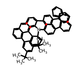 CC(C)(C)c1cc(-c2cccc3cccc(-c4ccccc4N(c4ccc(-c5cccc6sc7ccccc7c56)cc4)c4ccccc4-c4ccc(-c5ccccc5)cc4)c23)cc(C(C)(C)C)c1